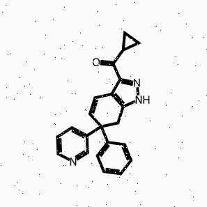 O=C(c1n[nH]c2c1C=CC(c1ccccc1)(c1cccnc1)C2)C1CC1